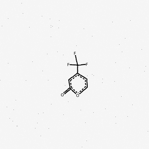 O=c1cc(C(F)(F)F)cco1